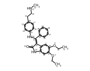 CCOc1cc2c(cc1OCC)/C(=C(/Nc1ccc(CCNC)cc1)c1ccccc1)C(=O)N2